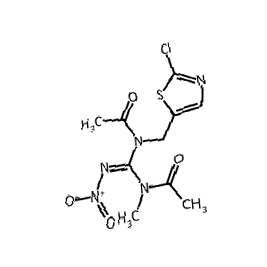 CC(=O)N(C)C(=N[N+](=O)[O-])N(Cc1cnc(Cl)s1)C(C)=O